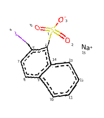 O=S(=O)([O-])c1c(I)ccc2ccccc12.[Na+]